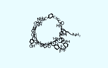 C[C@@H]1NC(=O)[C@@H]2CCCN2C(=O)[C@H](Cc2ccc(C(F)(F)F)cc2)NC(=O)[C@H](Cc2c[nH]c3ccc(F)cc23)NC(=O)CNC(=O)[C@H](CCCCN)NC(=O)CCSCc2cccc(c2)CSC[C@@H](C(N)=O)NC(=O)[C@@H]2CCCN2C(=O)[C@H](Cc2ccc(O)cc2)NC1=O